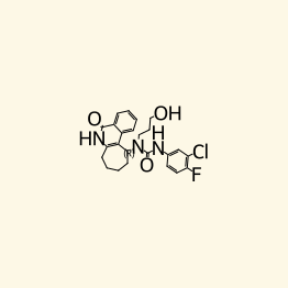 O=C(Nc1ccc(F)c(Cl)c1)N(CCCO)[C@@H]1CCCCc2[nH]c(=O)c3ccccc3c21